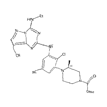 CCNc1nc(Nc2cc(C#N)cc(N3CCN(C(=O)OC)C[C@@H]3C)c2Cl)nc2c(C#N)cnn12